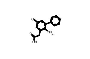 Nc1c(CC(=O)O)cc(Cl)cc1-c1ccccc1